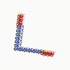 CC[N+]1(C)CCCC1.CC[N+]1(C)CCCC1.CC[N+]1(C)CCCC1.CC[N+]1(C)CCCC1.CC[N+]1(C)CCCC1.CC[N+]1(C)CCCC1.CC[N+]1(C)CCCC1.CC[N+]1(C)CCCC1.CC[N+]1(C)CCCC1.CC[N+]1(C)CCCC1.CC[N+]1(C)CCCC1.CC[N+]1(C)CCCC1.[O]=[Sb]([O-])([O-])[F].[O]=[Sb]([O-])([O-])[F].[O]=[Sb]([O-])([O-])[F].[O]=[Sb]([O-])([O-])[F].[O]=[Sb]([O-])([O-])[F].[O]=[Sb]([O-])([O-])[F]